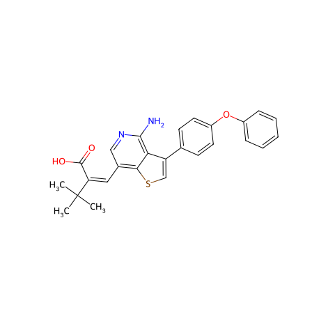 CC(C)(C)C(=Cc1cnc(N)c2c(-c3ccc(Oc4ccccc4)cc3)csc12)C(=O)O